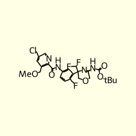 COCc1cc(Cl)cnc1C(=O)Nc1ccc(F)c(C2(C(F)F)COCC(NC(=O)OC(C)(C)C)=N2)c1